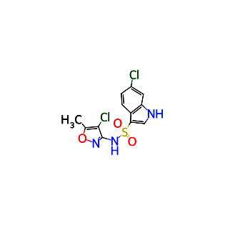 Cc1onc(NS(=O)(=O)c2c[nH]c3cc(Cl)ccc23)c1Cl